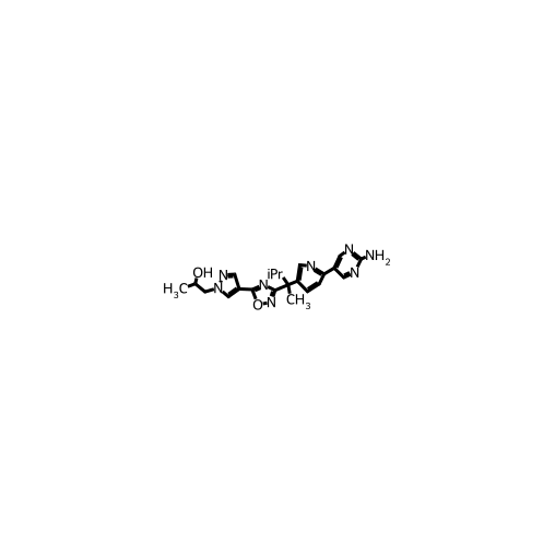 CC(O)Cn1cc(-c2nc(C(C)(c3ccc(-c4cnc(N)nc4)nc3)C(C)C)no2)cn1